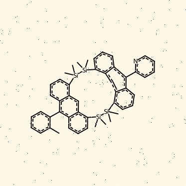 Cc1ccccc1-c1c2cccc3c2cc2c(cccc12)[Si](C)(C)[Si](C)(C)c1cccc2c(-c4ccccn4)c4cccc(c4cc12)[Si](C)(C)[Si]3(C)C